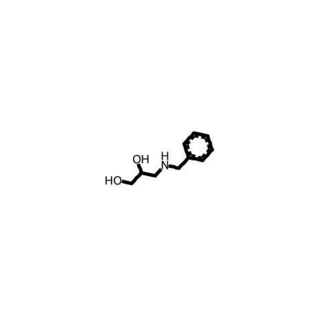 OCC(O)CNCc1ccccc1